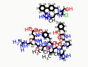 CCCCc1nc(Cl)c(CO)n1Cc1ccc(-c2ccccc2-c2nnn[nH]2)cc1.CC[C@H](C)[C@H](NC(=O)[C@H](Cc1ccc(O)cc1)NC(=O)[C@@H](NC(=O)[C@H](CCCNC(=N)N)NC(=O)[C@@H](N)CC(=O)O)C(C)C)C(=O)N[C@@H](Cc1cnc[nH]1)C(=O)N1CCC[C@H]1C(=O)N[C@@H](Cc1ccccc1)C(=O)O